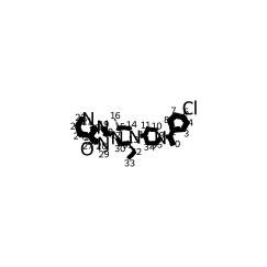 C=C(c1ccc(Cl)cc1)N1CCC(N2C[C@@H](C)N(c3nc4ncccc4c(=O)n3C)C[C@@H]2CC)CC1